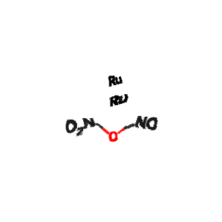 O=NO[N+](=O)[O-].[Ru].[Ru]